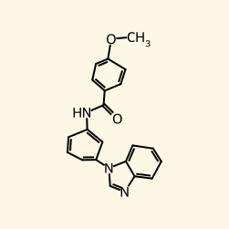 COc1ccc(C(=O)Nc2cccc(-n3cnc4ccccc43)c2)cc1